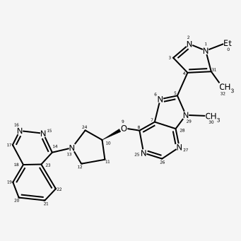 CCn1ncc(-c2nc3c(O[C@H]4CCN(c5nncc6ccccc56)C4)ncnc3n2C)c1C